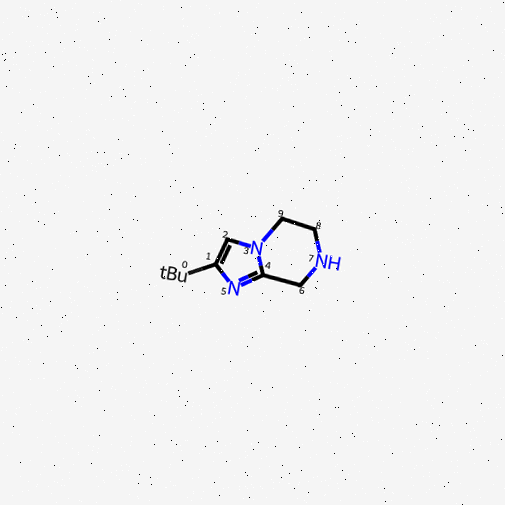 CC(C)(C)c1cn2c(n1)CNCC2